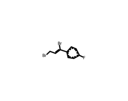 Fc1ccc(/C(Br)=C/CBr)cc1